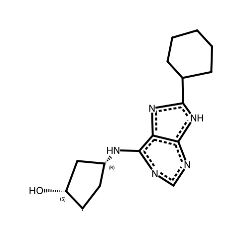 O[C@H]1[CH]C[C@@H](Nc2ncnc3[nH]c(C4CCCCC4)nc23)C1